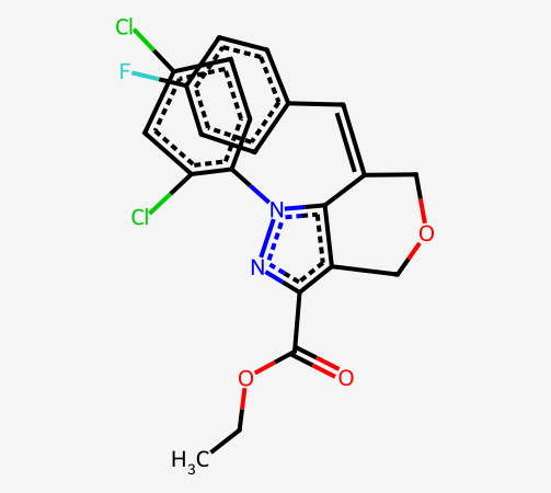 CCOC(=O)c1nn(-c2ccc(Cl)cc2Cl)c2c1COC/C2=C/c1ccc(F)cc1